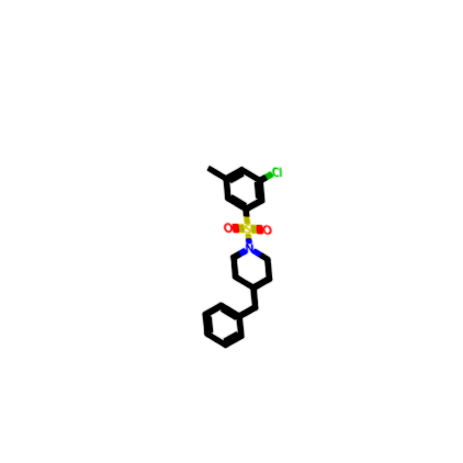 Cc1cc(Cl)cc(S(=O)(=O)N2CCC(Cc3ccccc3)CC2)c1